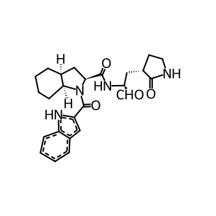 O=C[C@H](C[C@@H]1CCNC1=O)NC(=O)[C@@H]1C[C@@H]2CCCC[C@@H]2N1C(=O)c1cc2ccccc2[nH]1